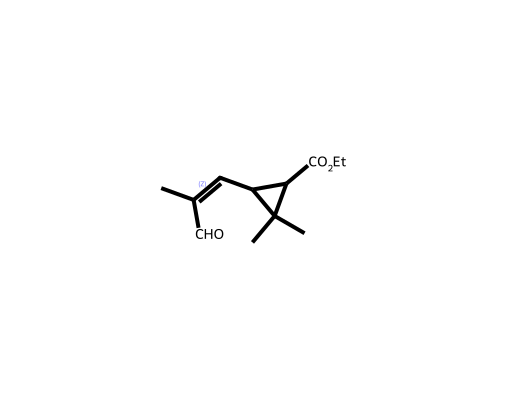 CCOC(=O)C1C(/C=C(/C)C=O)C1(C)C